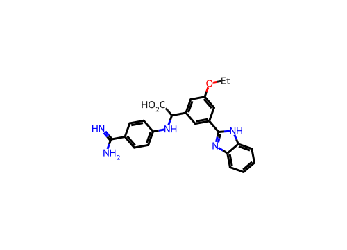 CCOc1cc(-c2nc3ccccc3[nH]2)cc(C(Nc2ccc(C(=N)N)cc2)C(=O)O)c1